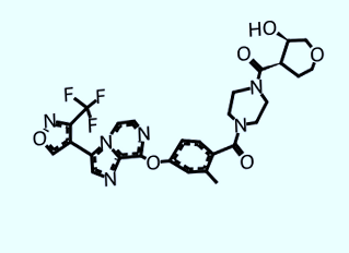 Cc1cc(Oc2nccn3c(-c4conc4C(F)(F)F)cnc23)ccc1C(=O)N1CCN(C(=O)[C@@H]2CCOC[C@@H]2O)CC1